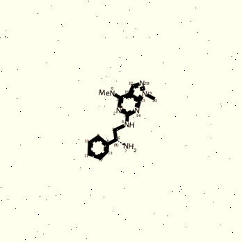 CNc1nc(NC[C@H](N)c2ccccc2)nc2c1cnn2C